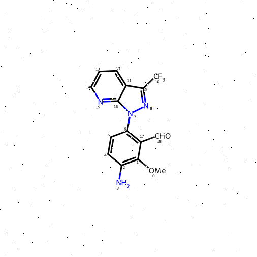 COc1c(N)ccc(-n2nc(C(F)(F)F)c3cccnc32)c1C=O